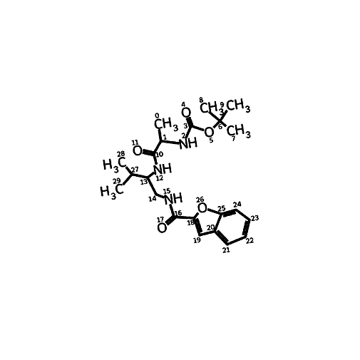 CC(NC(=O)OC(C)(C)C)C(=O)NC(CNC(=O)c1cc2ccccc2o1)C(C)C